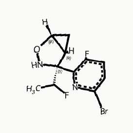 CC(F)[C@]1(c2nc(Br)ccc2F)NO[C@@H]2C[C@@H]21